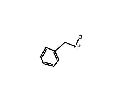 [Cl][Pt-2][CH2]c1ccccc1